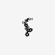 O=C(c1ccc(S(=O)(=O)N2CC(c3ccccc3)c3ccccc32)cc1)N1CC(CO)C1